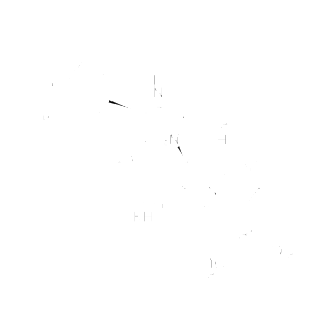 CC1(C)S[C@@H]2[C@H](N3C(=O)[C@@H](c4ccccc4)NC3(C)C)C(=O)N2[C@H]1C(=O)O.[KH]